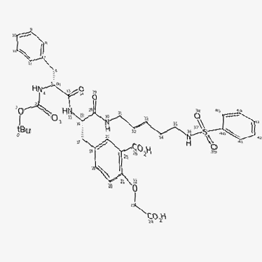 CC(C)(C)OC(=O)N[C@H](Cc1ccccc1)C(=O)N[C@@H](Cc1ccc(OCC(=O)O)c(C(=O)O)c1)C(=O)NCCCCCNS(=O)(=O)c1ccccc1